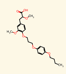 CCCCOc1ccc(OCCCOc2ccc(CC(OC)C(=O)O)cc2OC)cc1